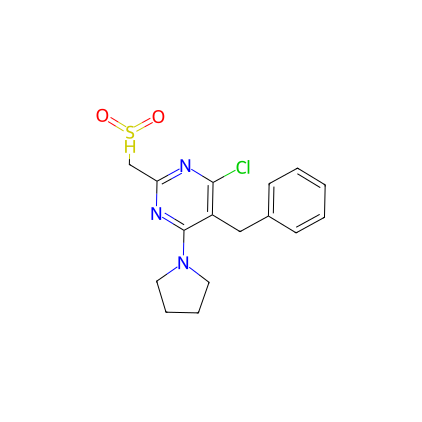 O=[SH](=O)Cc1nc(Cl)c(Cc2ccccc2)c(N2CCCC2)n1